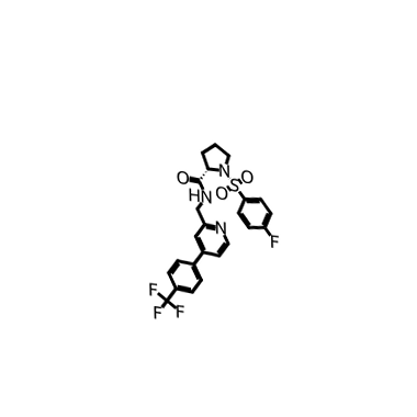 O=C(NCc1cc(-c2ccc(C(F)(F)F)cc2)ccn1)[C@@H]1CCCN1S(=O)(=O)c1ccc(F)cc1